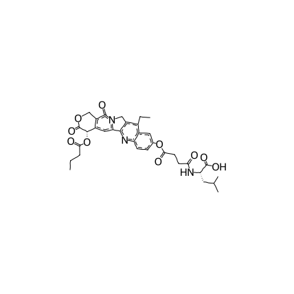 CCCC(=O)O[C@@H]1C(=O)OCc2c1cc1n(c2=O)Cc2c-1nc1ccc(OC(=O)CCC(=O)N[C@@H](CC(C)C)C(=O)O)cc1c2CC